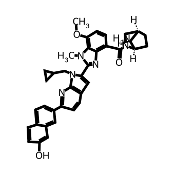 COc1ccc(C(=O)N2C[C@H]3CC[C@@H]2[C@@H]3N)c2nc(-c3cc4ccc(-c5ccc6ccc(O)cc6c5)nc4n3CC3CC3)n(C)c12